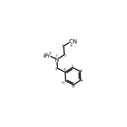 CC(C)N(CCC#N)Cc1ccccc1